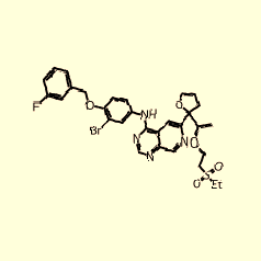 CCS(=O)(=O)CCOC(C)C1(c2cc3c(Nc4ccc(OCc5cccc(F)c5)c(Br)c4)ncnc3cn2)CC=CO1